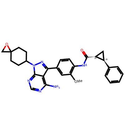 COc1cc(-c2nn(C3CCC4(CC3)CO4)c3ncnc(N)c23)ccc1NC(=O)[C@@H]1C[C@H]1c1ccccc1